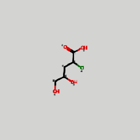 O=C(O)C(Cl)CC(O)CO